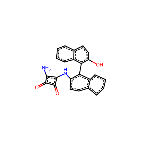 Nc1c(Nc2ccc3ccccc3c2-c2c(O)ccc3ccccc23)c(=O)c1=O